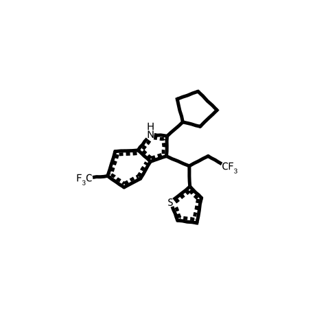 FC(F)(F)CC(c1cccs1)c1c(C2CCCC2)[nH]c2cc(C(F)(F)F)ccc12